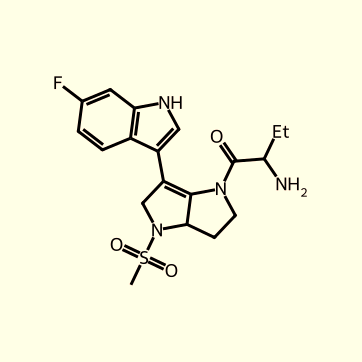 CCC(N)C(=O)N1CCC2C1=C(c1c[nH]c3cc(F)ccc13)CN2S(C)(=O)=O